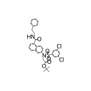 CC(C)(C)OC(=O)CN(c1ccc2c(C(=O)NCCc3ccccc3)cccc2c1)S(=O)(=O)c1cc(Cl)cc(Cl)c1